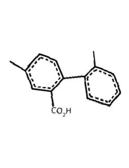 Cc1ccc(-c2ccccc2C)c(C(=O)O)c1